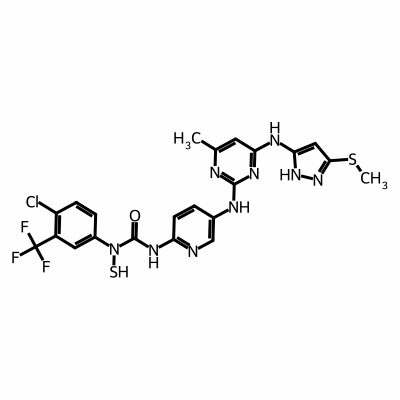 CSc1cc(Nc2cc(C)nc(Nc3ccc(NC(=O)N(S)c4ccc(Cl)c(C(F)(F)F)c4)nc3)n2)[nH]n1